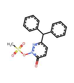 CS(=O)(=O)On1nc(C(c2ccccc2)c2ccccc2)ccc1=O